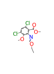 CCO/C=N/c1c(OC)c(Cl)cc(Cl)c1C(=O)OC